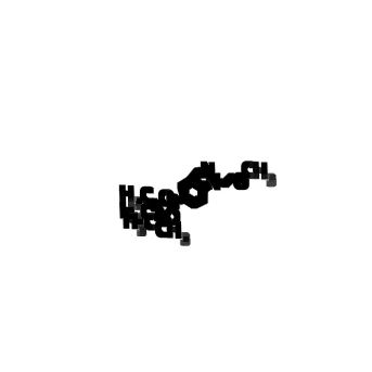 COCCn1ncc2cc(B3OC(C)(C)C(C)(C)O3)ccc21